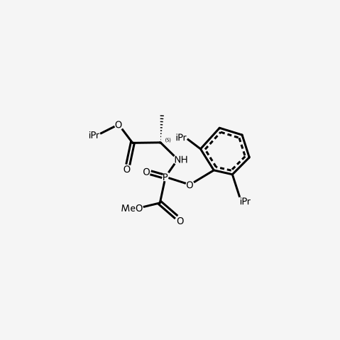 COC(=O)P(=O)(N[C@@H](C)C(=O)OC(C)C)Oc1c(C(C)C)cccc1C(C)C